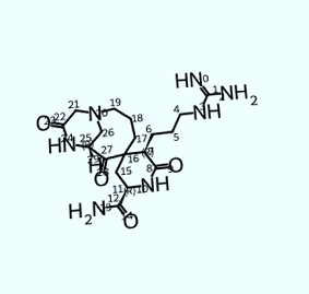 N=C(N)NCCC[C@H]1C(=O)N[C@@H](C(N)=O)CC12CCCN1CC(=O)N[C@H](C1)C2=O